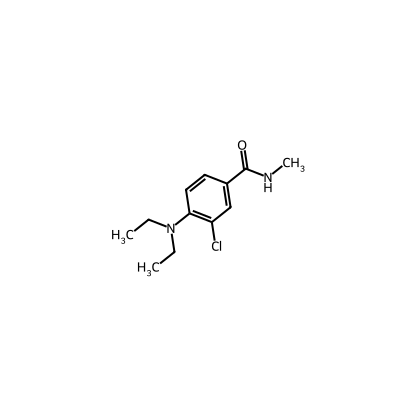 CCN(CC)c1ccc(C(=O)NC)cc1Cl